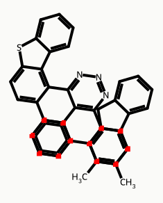 Cc1cc2c(c(-c3ccccc3-c3c(-c4ccccc4)nnnc3-c3c(-c4ccccc4)ccc4sc5ccccc5c34)c1C)Cc1ccccc1-2